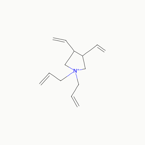 C=CC[N+]1(CC=C)CC(C=C)C(C=C)C1